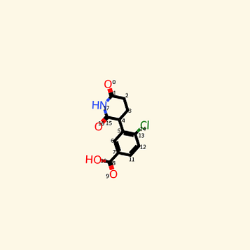 O=C1CCC(c2cc(C(=O)O)ccc2Cl)C(=O)N1